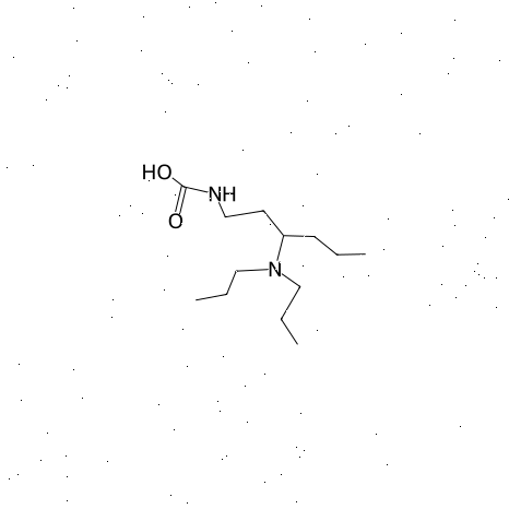 CCCC(CCNC(=O)O)N(CCC)CCC